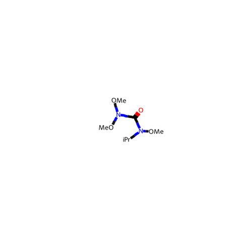 CON(OC)C(=O)N(OC)C(C)C